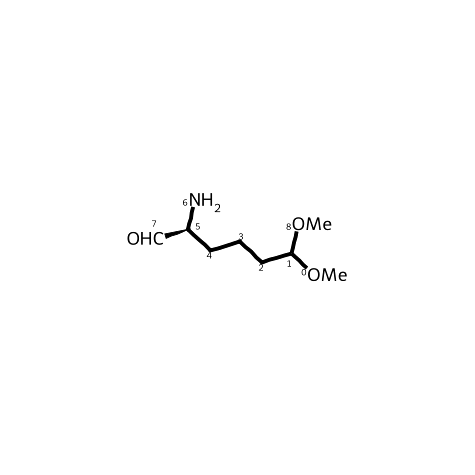 COC(CCC[C@H](N)C=O)OC